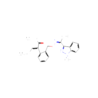 CO/C=C(/C(=O)OC)c1ccccc1CO/N=C(/C)c1nn(C)c2ccccc12